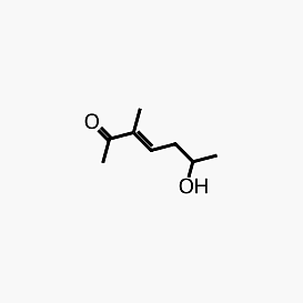 CC(=O)C(C)=CCC(C)O